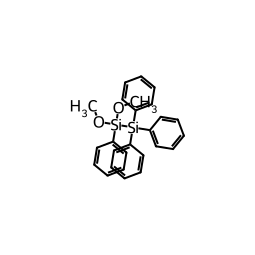 CO[Si](OC)(c1ccccc1)[Si](c1ccccc1)(c1ccccc1)c1ccccc1